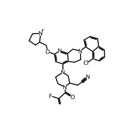 C=C(F)C(=O)N1CCN(c2cc(OCC3CCCN3C)nc3c2CCN(c2cccc4cccc(Cl)c24)C3)CC1CC#N